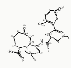 CSC[C@H](NC(=O)c1cc(Cl)ccc1Cl)C(=O)N[C@@H](CC(C)C)B1OC(=O)CCCC(C(=O)O)O1